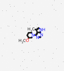 COC1CCCN(c2ncnc3[nH]cc(C)c23)C1